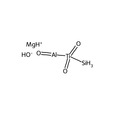 [MgH+].[OH-].[O]=[Al][Ti](=[O])(=[O])[SiH3]